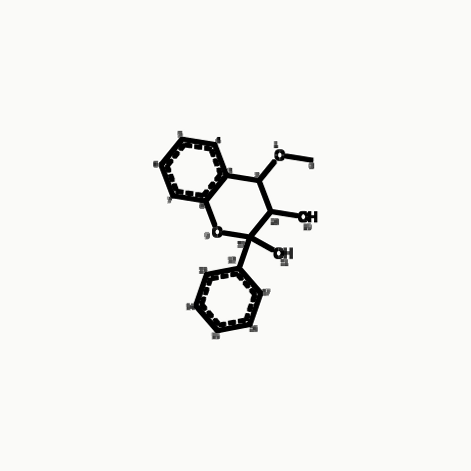 COC1c2ccccc2OC(O)(c2ccccc2)C1O